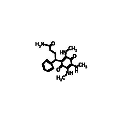 CNC1=C(NC)C(=O)C(C(CCC(N)=O)c2ccccc2)=C(NC)C1=O